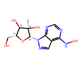 C[C@@]1(O)[C@H](O)[C@@H](CO)O[C@H]1n1ncc2c(NO)ncnc21